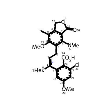 CCCCCC/C(=C/Cc1c(NC)c2c(c(C)c1OC)COC2=O)c1cc(OC)cc(Cl)c1C(=O)O